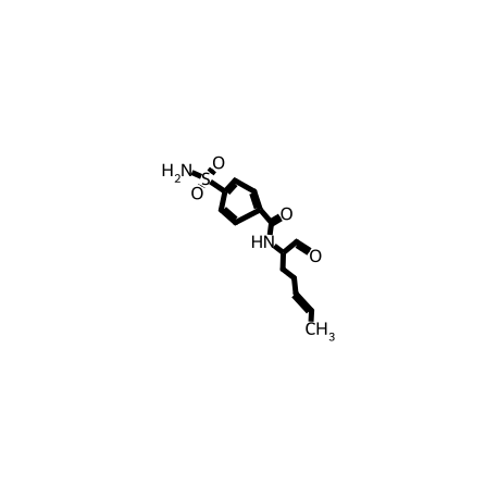 CC=CCCC(C=O)NC(=O)c1ccc(S(N)(=O)=O)cc1